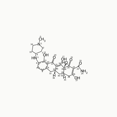 CN1CCC(Nc2ccc3c(c2O)C(=O)C2=C(O)[C@]4(O)C(=O)C(C(N)=O)=C(O)C[C@@H]4C[C@@H]2C3)CC1